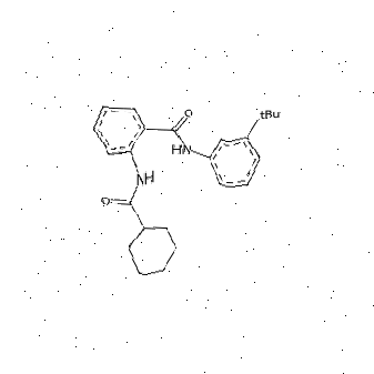 CC(C)(C)c1cccc(NC(=O)c2ccccc2NC(=O)C2CCCCC2)c1